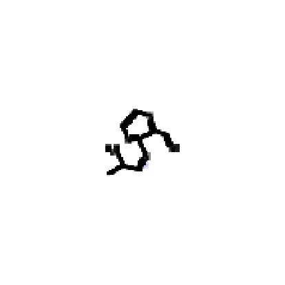 CC(N)/C=N\c1nccnc1C=N